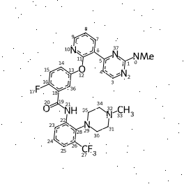 CNc1nccc(-c2cccnc2Oc2ccc(F)c(C(=O)Nc3cccc(C(F)(F)F)c3N3CCN(C)CC3)c2)n1